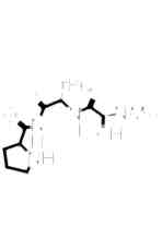 CN[C@@H](C)C(=O)N[C@H](C(=O)NC(=O)C1CCCN1)C(C)(C)C